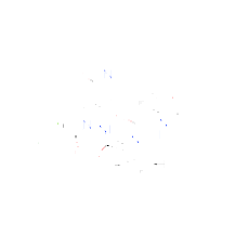 CC[C@@H](C)[C@H](NC(=O)C(F)(F)F)C(=O)N1C[C@@H]2CCC[C@@H]2[C@H]1C(=O)NN(C[C@@H]1CCNC1=O)C(=O)[C@H](F)Cl